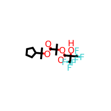 CC(C)(OC(=O)C(O)(C(F)(F)F)C(F)(F)F)C(=O)OC(C)(C)C1CCCC1